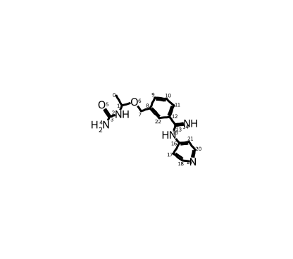 CC(NC(N)=O)OCc1cccc(C(=N)Nc2ccncc2)c1